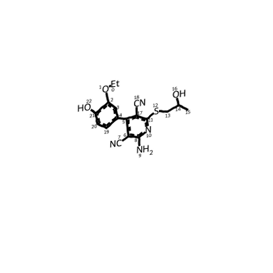 CCOc1cc(-c2c(C#N)c(N)nc(SCC(C)O)c2C#N)ccc1O